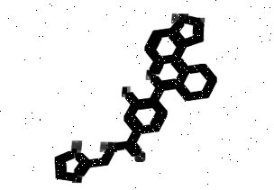 O=C(NCc1ncc[nH]1)c1ccc(-c2nc3ccc4[nH]ncc4c3c3c2CCCC3)c(F)c1